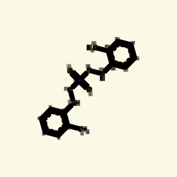 Cc1ccccc1NOS(=O)(=O)ONc1ccccc1C